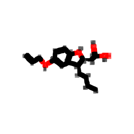 C=CCOc1ccc2c(c1)[C@H](CCCC)[C@@H](CC(=O)O)O2